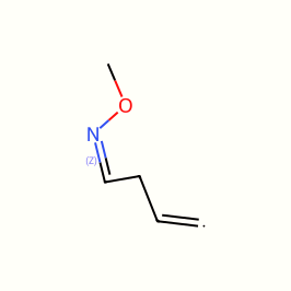 [CH]=CC/C=N\OC